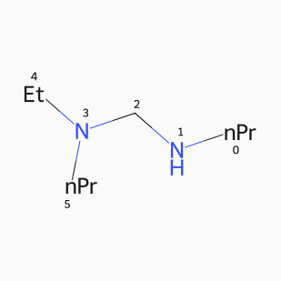 CCCNCN(CC)CCC